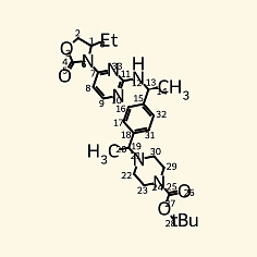 CCC1COC(=O)N1c1ccnc(N[C@@H](C)c2ccc(C(C)N3CCN(C(=O)OC(C)(C)C)CC3)cc2)n1